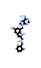 Nc1ncnc2c1ncn2Cc1cc(Cl)cc2cc(CNCc3c(F)cccc3F)[nH]c12